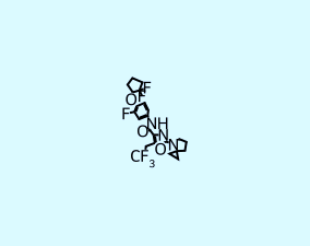 O=C(Nc1ccc(OC2CCCC2(F)F)c(F)c1)c1nc(N2CCCC23CC3)oc1CC(F)(F)F